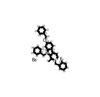 Cc1c2c(cc[n+]1Cc1ccccc1F)c1ccc(OCc3ccccc3)cc1n2Cc1ccccc1.[Br-]